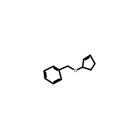 C1=CC(OCc2ccccc2)CC1